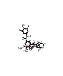 O=C(Nc1cc(F)c(F)c(F)c1)c1ccc(Cl)c(S(=O)(=O)[C@@H]2CC3CC[C@@H](C2)[C@@]3(O)COC[C@H](O)C(O)CO)c1